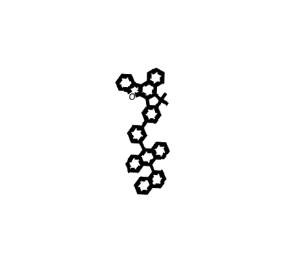 CC1(C)c2ccc(-c3cccc(-c4c5ccccc5c(-c5cccc6ccccc56)c5ccccc45)c3)cc2-c2c1c1ccccc1c1c2oc2ccccc21